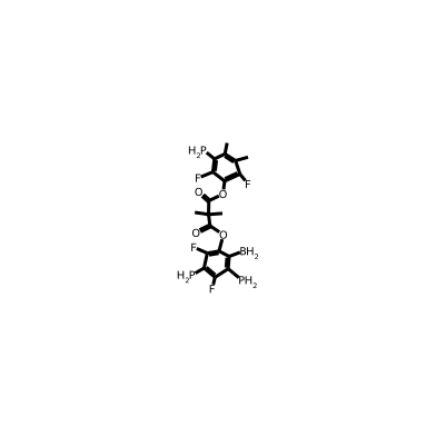 Bc1c(P)c(F)c(P)c(F)c1OC(=O)C(C)(C)C(=O)Oc1c(F)c(C)c(C)c(P)c1F